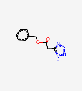 O=C(Cc1nnn[nH]1)OCc1ccccc1